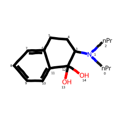 CCCN(CCC)C1CCc2ccccc2C1(O)O